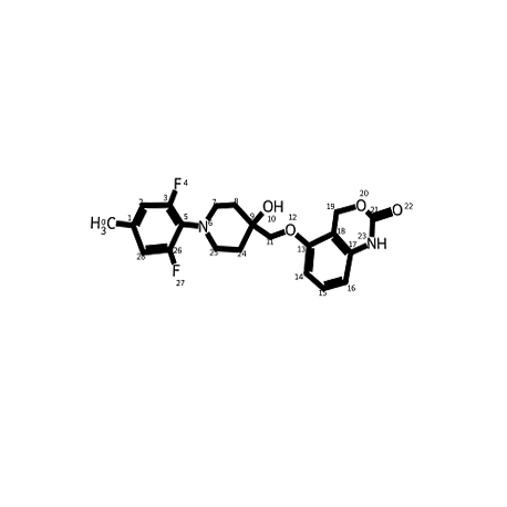 Cc1cc(F)c(N2CCC(O)(COc3cccc4c3COC(=O)N4)CC2)c(F)c1